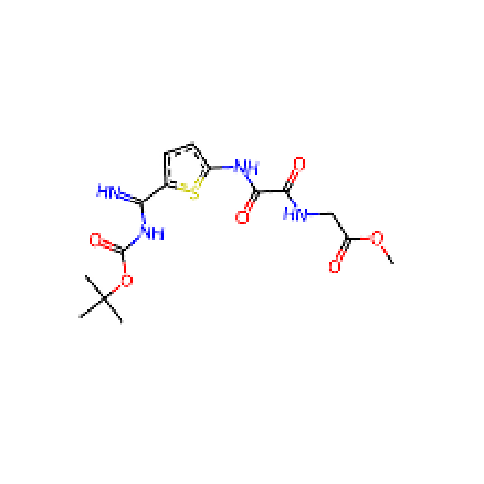 COC(=O)CNC(=O)C(=O)Nc1ccc(C(=N)NC(=O)OC(C)(C)C)s1